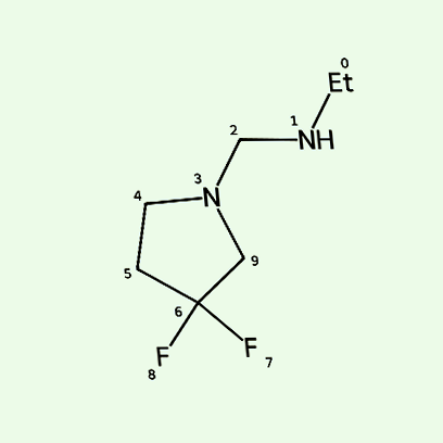 CCNCN1CCC(F)(F)C1